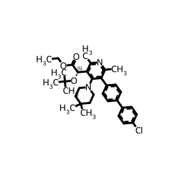 CCOC(=O)[C@@H](OC(C)(C)C)c1c(C)nc(C)c(-c2ccc(-c3ccc(Cl)cc3)cc2)c1N1CCC(C)(C)CC1